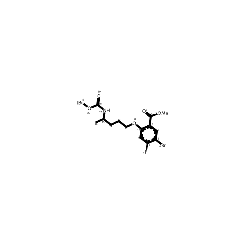 COC(=O)c1cc(Br)c(F)cc1OCCCC(C)NC(=O)OC(C)(C)C